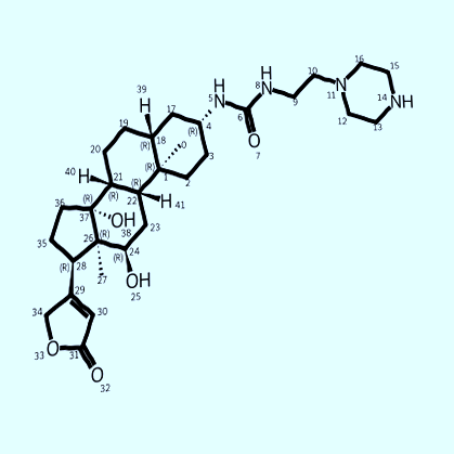 C[C@@]12CC[C@@H](NC(=O)NCCN3CCNCC3)C[C@H]1CC[C@@H]1[C@H]2C[C@@H](O)[C@@]2(C)[C@@H](C3=CC(=O)OC3)CC[C@@]12O